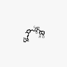 Cc1ccc(CCN2C(=O)NC(Cc3c[nH]c4c(Cl)cccc34)C2=O)cc1C#Cc1cnc2cccnn12